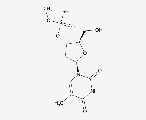 COP(=O)(S)OC1C[C@H](n2cc(C)c(=O)[nH]c2=O)O[C@@H]1CO